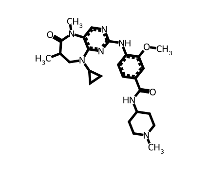 COc1cc(C(=O)NC2CCN(C)CC2)ccc1Nc1ncc2c(n1)N(C1CC1)CC(C)C(=O)N2C